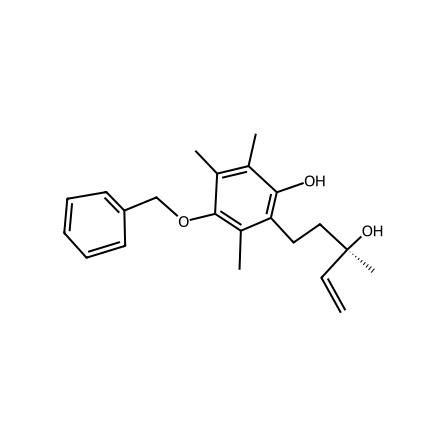 C=C[C@](C)(O)CCc1c(C)c(OCc2ccccc2)c(C)c(C)c1O